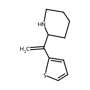 C=C(c1cccs1)C1CCCCN1